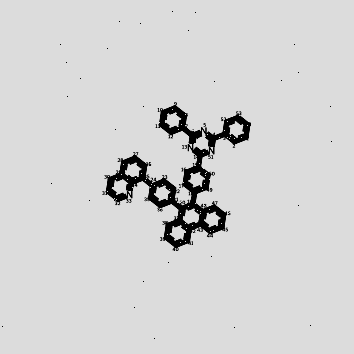 c1ccc(-c2nc(-c3ccccc3)nc(-c3ccc(-c4c(-c5ccc(-c6cccc7cccnc67)cc5)c5ccccc5c5ccccc45)cc3)n2)cc1